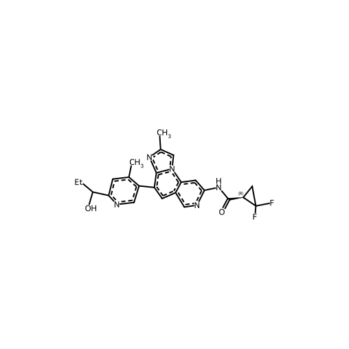 CCC(O)c1cc(C)c(-c2cc3cnc(NC(=O)[C@H]4CC4(F)F)cc3n3cc(C)nc23)cn1